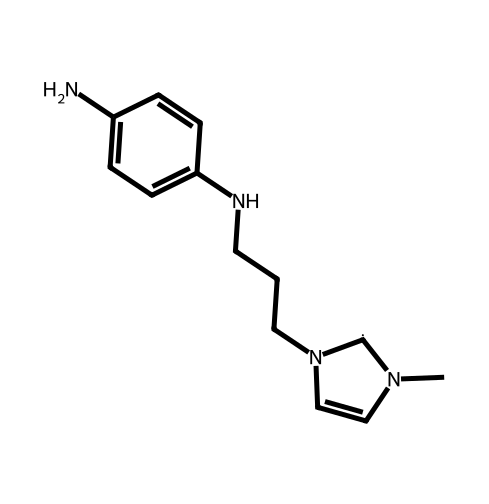 CN1[CH]N(CCCNc2ccc(N)cc2)C=C1